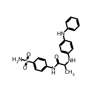 CC(Nc1ccc(Nc2ccccc2)cc1)C(=O)Nc1ccc(S(N)(=O)=O)cc1